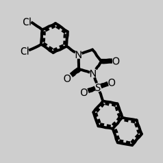 O=C1CN(c2ccc(Cl)c(Cl)c2)C(=O)N1S(=O)(=O)c1ccc2ccccc2c1